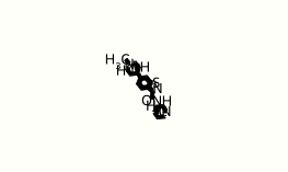 CN1C[C@H]2CC[C@@H]1CN2c1ccc2c(C(=O)N[C@H]3CN4CCC3CC4)nsc2c1